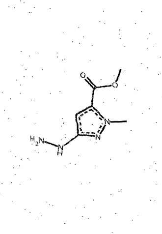 COC(=O)c1cc(NN)nn1C